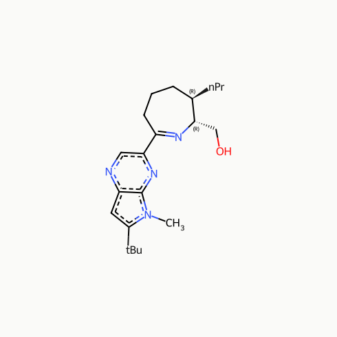 CCC[C@@H]1CCCC(c2cnc3cc(C(C)(C)C)n(C)c3n2)=N[C@H]1CO